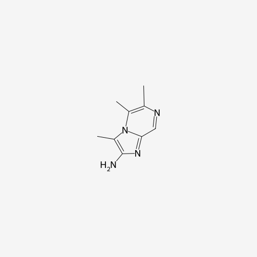 Cc1ncc2nc(N)c(C)n2c1C